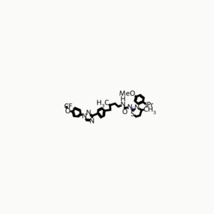 COc1ccc(C(C)C)c(N2/C(=N/C(=O)NCCC(C)Cc3ccc(-c4ncn(-c5ccc(OC(F)(F)F)cc5)n4)cc3)SCCC2C)c1